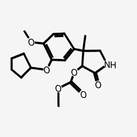 COC(=O)OC1C(=O)NCC1(C)c1ccc(OC)c(OC2CCCC2)c1